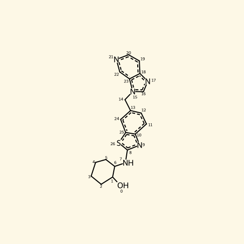 OC1CCCCC1Nc1nc2ccc(Cn3cnc4ccncc43)cc2s1